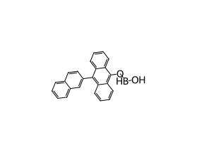 OBOc1c2ccccc2c(-c2ccc3ccccc3c2)c2ccccc12